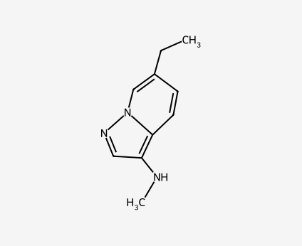 CCc1ccc2c(NC)cnn2c1